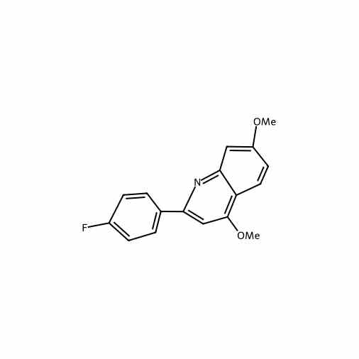 COc1ccc2c(OC)cc(-c3ccc(F)cc3)nc2c1